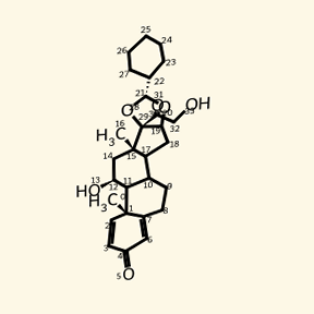 C[C@]12C=CC(=O)C=C1CCC1C2[C@@H](O)C[C@@]2(C)C1CC1O[C@@H](C3CCCCC3)O[C@]12C(=O)CO